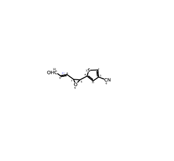 N#Cc1csc(C2OC2/C=C/C=O)c1